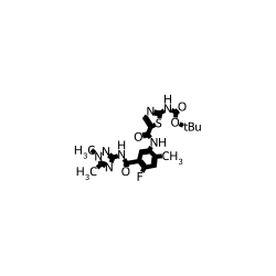 Cc1cc(F)c(C(=O)Nc2nc(C)n(C)n2)cc1NC(=O)c1cnc(NC(=O)OC(C)(C)C)s1